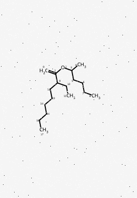 C=C(OC(C)CCCC)C(CC)CCCCCC